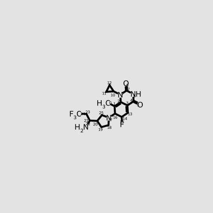 CC1=c2c(c(=O)[nH]c(=O)n2C2CC2)=CC(F)C1N1CCC(C(N)CC(F)(F)F)C1